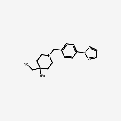 CC(C)(C)C1(CC#N)CCN(Cc2ccc(-n3nccn3)cc2)CC1